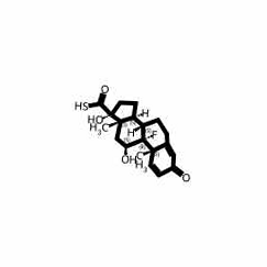 C[C@]12C=CC(=O)C=C1CC[C@H]1[C@@H]3CC[C@](O)(C(=O)S)[C@@]3(C)C[C@H](O)[C@@]12F